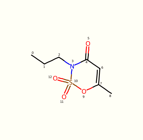 CCCN1C(=O)C=C(C)OS1(=O)=O